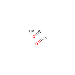 [InH3].[O]=[Sn].[O]=[W]